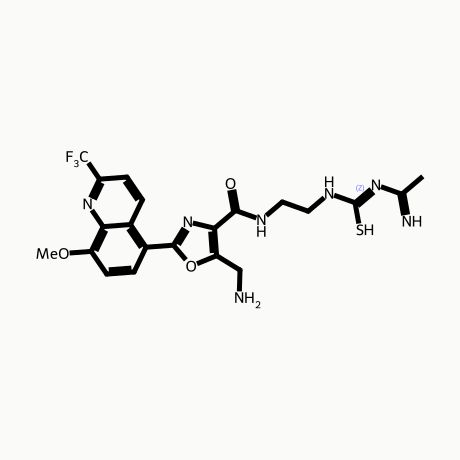 COc1ccc(-c2nc(C(=O)NCCN/C(S)=N/C(C)=N)c(CN)o2)c2ccc(C(F)(F)F)nc12